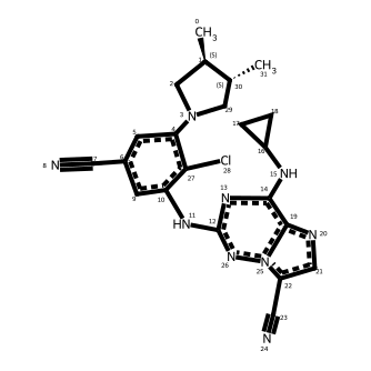 C[C@@H]1CN(c2cc(C#N)cc(Nc3nc(NC4CC4)c4ncc(C#N)n4n3)c2Cl)C[C@H]1C